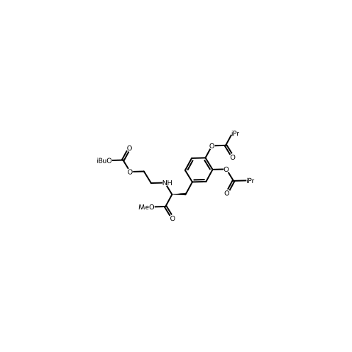 COC(=O)[C@H](Cc1ccc(OC(=O)C(C)C)c(OC(=O)C(C)C)c1)NCCOC(=O)OCC(C)C